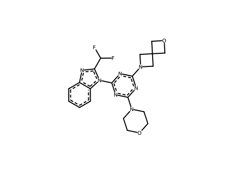 FC(F)c1nc2ccccc2n1-c1nc(N2CCOCC2)nc(N2CC3(COC3)C2)n1